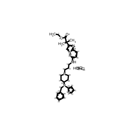 CCOC(=O)C(C)(C)c1cn2nc(NCCCN3CCC(N(Cc4ccccc4)c4cccs4)CC3)ccc2n1.Cl.Cl.Cl